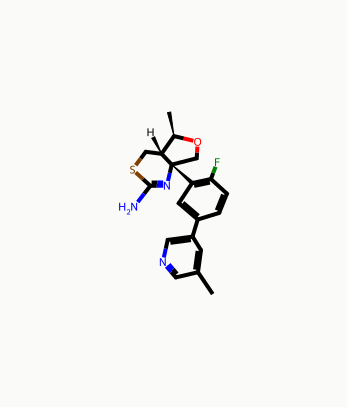 Cc1cncc(-c2ccc(F)c([C@]34CO[C@H](C)[C@H]3CSC(N)=N4)c2)c1